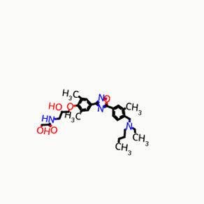 CCCCN(CC)Cc1ccc(-c2nc(-c3cc(C)c(OC[C@@H](O)CNC(=O)CO)c(C)c3)no2)cc1C